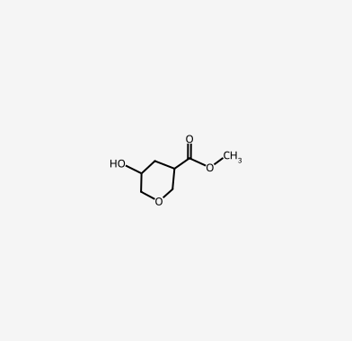 COC(=O)C1COCC(O)C1